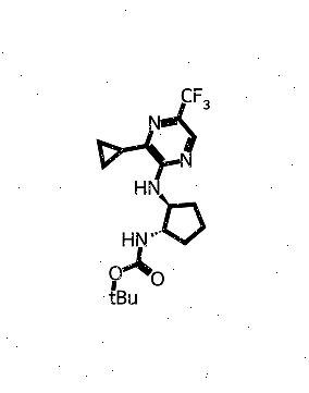 CC(C)(C)OC(=O)N[C@H]1CCC[C@@H]1Nc1ncc(C(F)(F)F)nc1C1CC1